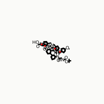 COc1ccc(CN(Cc2ccc(OC)cc2)S(=O)(=O)c2c(S(=O)(=O)CCNC(=O)O)ccc(-c3cccc(NC(=O)CNC(=O)OC(C)(C)C)c3)c2-c2nnn(Cc3ccc(OC)cc3)n2)cc1